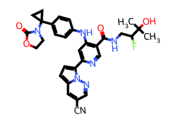 CC(C)(O)C(F)CNC(=O)c1cnc(-c2ccc3cc(C#N)cnn23)cc1Nc1ccc(C2(N3CCOC3=O)CC2)cc1